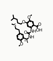 COc1cc(C(=O)O)c(NC(=O)N[C@@H](C)c2cc(CCSC)ccc2OC)cc1OCCCC(C)C